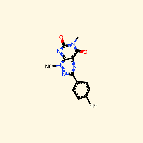 CCCc1ccc(-c2nc3c(=O)n(C)c(=O)nc-3n(C#N)n2)cc1